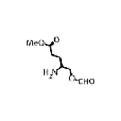 COC(=O)CCC(N)COC=O